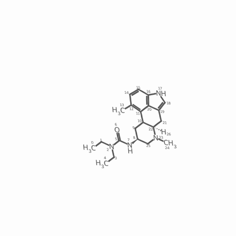 CCN(CC)C(=O)N[C@H]1CC2c3c(C)ccc4[nH]cc(c34)C[C@H]2N(C)C1